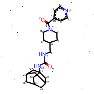 O=C(NCC1CCN(C(=O)c2ccncc2)CC1)NC12CC3CC(CC(C3)C1)C2